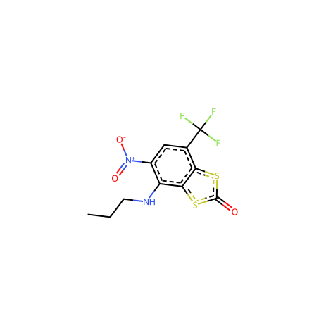 CCCNc1c([N+](=O)[O-])cc(C(F)(F)F)c2sc(=O)sc12